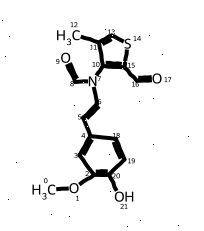 COc1cc(C=CN(C=O)c2c(C)csc2C=O)ccc1O